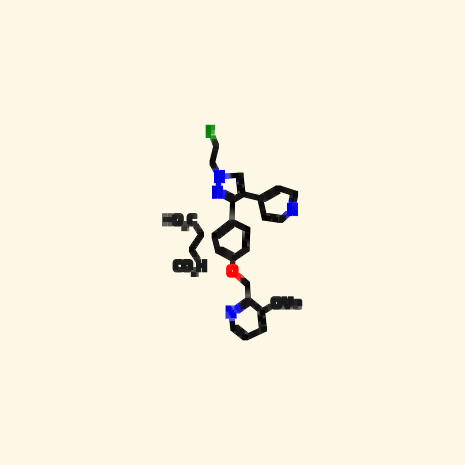 COc1cccnc1COc1ccc(-c2nn(CCF)cc2-c2ccncc2)cc1.O=C(O)CCC(=O)O